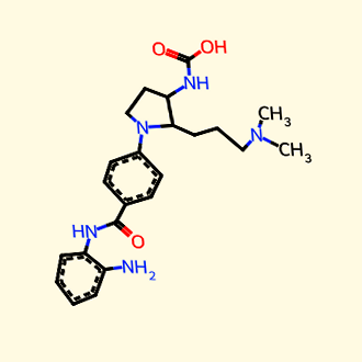 CN(C)CCCC1C(NC(=O)O)CCN1c1ccc(C(=O)Nc2ccccc2N)cc1